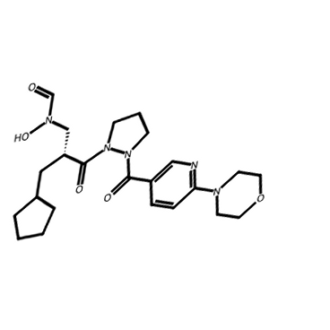 O=CN(O)C[C@@H](CC1CCCC1)C(=O)N1CCCN1C(=O)c1ccc(N2CCOCC2)nc1